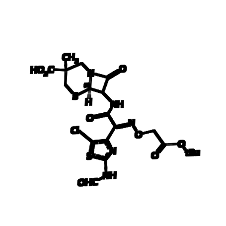 CC(C)(C)OC(=O)CON=C(C(=O)NC1C(=O)N2CC(C)(C(=O)O)CS[C@H]12)c1nc(NC=O)sc1Cl